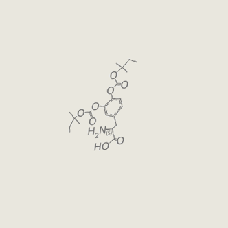 CCC(C)(C)OC(=O)Oc1ccc(C[C@H](N)C(=O)O)cc1OC(=O)OC(C)(C)CC